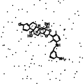 Cc1ccc(NCc2cccc(N)c2)c(C)c1[C@@H]1O[C@@H]2C[C@H]3[C@@H]4CCC5=CC(=O)C=C[C@]5(C)[C@H]4[C@@H](O)C[C@]3(C)[C@]2(C(=O)CO)O1